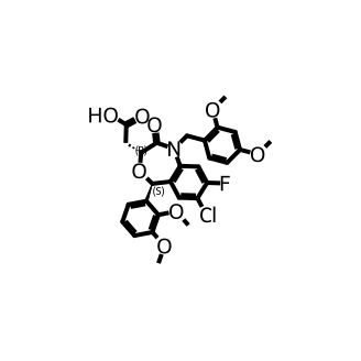 COc1ccc(CN2C(=O)[C@@H](CC(=O)O)O[C@H](c3cccc(OC)c3OC)c3cc(Cl)c(F)cc32)c(OC)c1